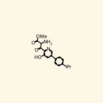 COC(=O)C(N)C(=O)c1ncc(-c2ccc(C(C)C)cc2)cc1O